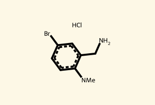 CNc1ccc(Br)cc1CN.Cl